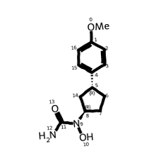 COc1ccc([C@@H]2CC[C@@H](N(O)C(N)=O)C2)cc1